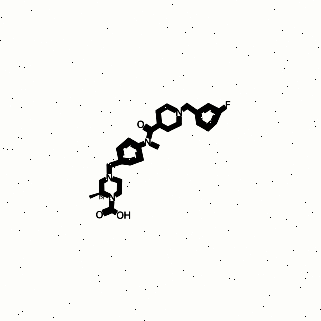 C[C@H]1CN(Cc2ccc(N(C)C(=O)C3CCN(Cc4cccc(F)c4)CC3)cc2)CCN1C(=O)O